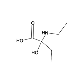 CCNC(O)(CC)C(=O)O